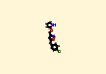 Clc1ccc(Cc2cc(COC3CCCN3)no2)cc1